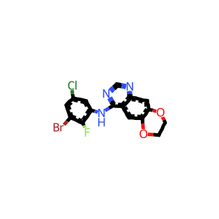 Fc1c(Br)cc(Cl)cc1Nc1ncnc2cc3c(cc12)OCCO3